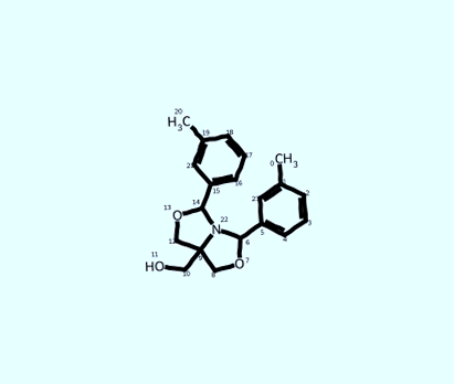 Cc1cccc(C2OCC3(CO)COC(c4cccc(C)c4)N23)c1